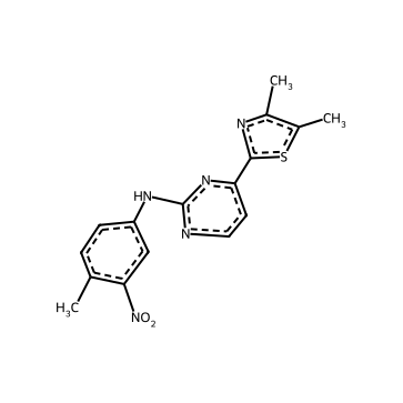 Cc1ccc(Nc2nccc(-c3nc(C)c(C)s3)n2)cc1[N+](=O)[O-]